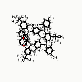 Cc1cc(C)c(N2c3cc4c(cc3B3c5cc6c(cc5N(c5c(C)cc(C)cc5C)c5cc(C(C)(C)C)cc2c53)Oc2cc(C(C)(C)C)cc3c2B6c2sc5ccccc5c2O3)B2c3sc5ccccc5c3Oc3cc(C(C)(C)C)cc(c32)N4)c(C)c1